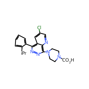 CC(C)c1ccccc1-c1nnc(N2CCN(C(=O)O)CC2)c2ncc(Cl)cc12